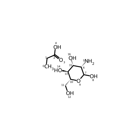 CCC(=O)O.N[C@@H]1C(O)O[C@H](CO)[C@@H](O)[C@@H]1O